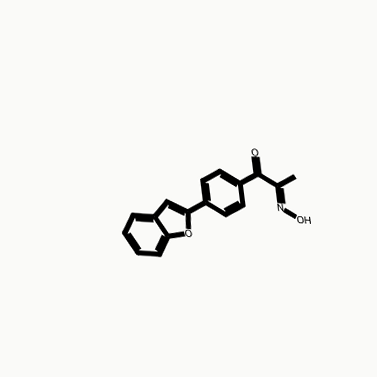 CC(=NO)C(=O)c1ccc(-c2cc3ccccc3o2)cc1